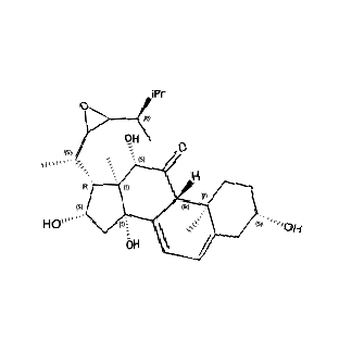 CC(C)[C@@H](C)C1OC1[C@@H](C)[C@H]1[C@@H](O)C[C@]2(O)C3=CC=C4C[C@@H](O)CC[C@]4(C)[C@H]3C(=O)[C@@H](O)[C@]12C